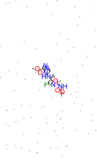 CCOC(=O)c1cnn2ccc(NC3(c4cc(F)cnc4O[C@@H](C)CNC(=O)OC(C)(C)C)CC3)nc12